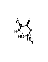 C=C(C[PH](=O)O)C(=O)O